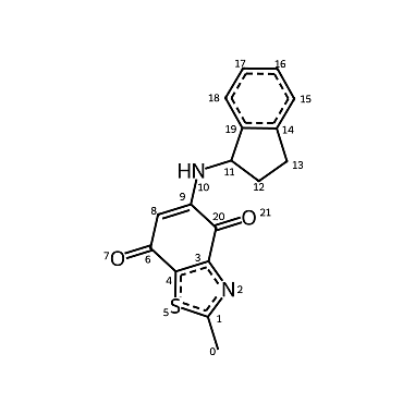 Cc1nc2c(s1)C(=O)C=C(NC1CCc3ccccc31)C2=O